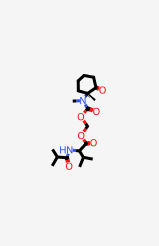 CC(C)C(=O)NC(C(=O)OCOC(=O)N(C)[C@]1(C)CCCCC1=O)C(C)C